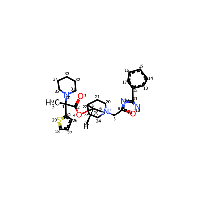 CC(C(=O)O[C@H]1C[N+]2(Cc3nc(-c4ccccc4)no3)CCC1CC2)(c1cccs1)N1CCCCC1